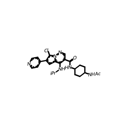 CC(=O)NC1CCC(NC(=O)c2cnn3c(Cl)c(-c4ccncc4)cc3c2NC(C)C)CC1